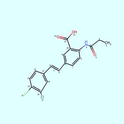 CCC(=O)Nc1ccc(/C=C/c2ccc(F)c(Cl)c2)cc1C(=O)O